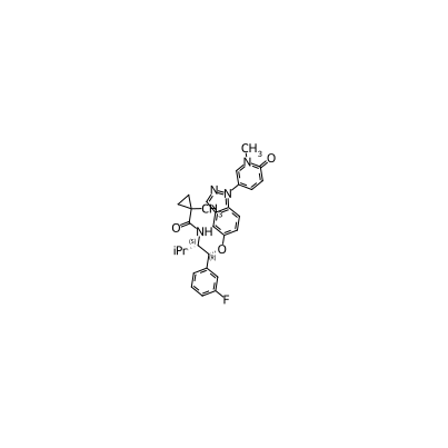 CC(C)[C@H](NC(=O)C1(C)CC1)[C@H](Oc1ccc2c(cnn2-c2ccc(=O)n(C)c2)c1)c1cccc(F)c1